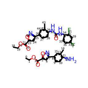 CCOC(=O)c1cc(-c2ccc(N)c(C)c2)no1.CCOC(=O)c1cc(-c2ccc(NC(=O)Nc3ccc(F)cc3F)c(C)c2)no1